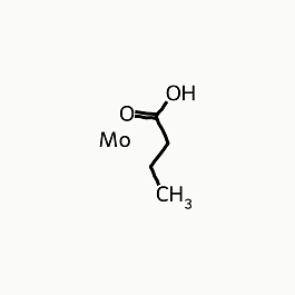 CCCC(=O)O.[Mo]